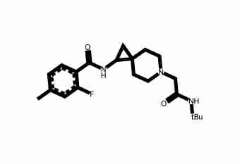 Cc1ccc(C(=O)NC2CC23CCN(CC(=O)NC(C)(C)C)CC3)c(F)c1